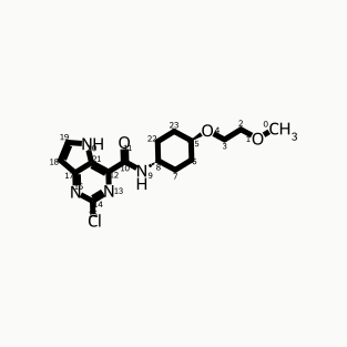 COCCO[C@H]1CC[C@H](NC(=O)c2nc(Cl)nc3cc[nH]c23)CC1